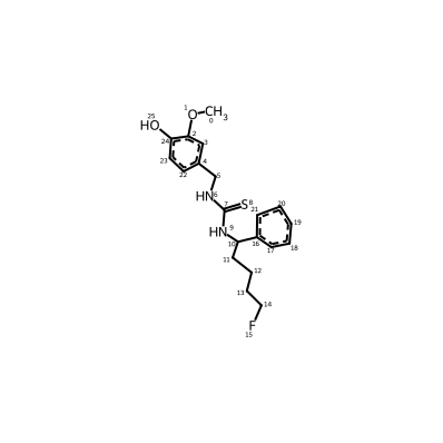 COc1cc(CNC(=S)NC(CCCCF)c2ccccc2)ccc1O